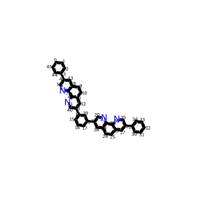 c1ccc(-c2cnc3c(ccc4cc(-c5cccc(-c6cnc7c(ccc8cc(-c9ccccc9)cnc87)c6)c5)cnc43)c2)cc1